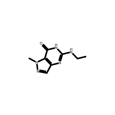 CCNc1nc2cnn(C)c2c(=O)[nH]1